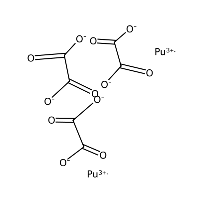 O=C([O-])C(=O)[O-].O=C([O-])C(=O)[O-].O=C([O-])C(=O)[O-].[Pu+3].[Pu+3]